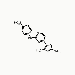 Cc1nc(N)sc1-c1ccnc(Nc2ccc(S(=O)(=O)O)cc2)n1